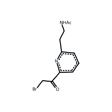 CC(=O)NCCc1cccc(C(=O)CBr)n1